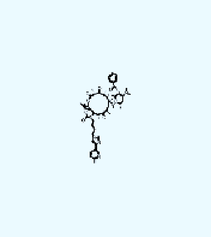 CC[C@H]1OC(=O)[C@H](C)C(=O)[C@H](C)[C@@H](OC2O[C@H](C)C[C@H](N(C)C)[C@H]2OC(=O)c2ccccc2)[C@@](C)(OC)C[C@@H](C)C(=O)[C@H](C)[C@H]2N(CCCCn3cnc(-c4ccc(C)nc4)c3)C(=O)O[C@]12CC